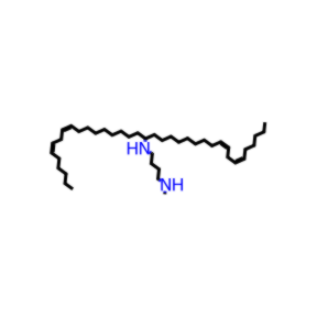 CCCCC/C=C\C/C=C\CCCCCCCCC(CCCCCCCC/C=C\C/C=C\CCCCC)NCCCCNC